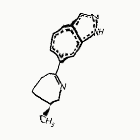 C[C@H]1CCC(c2ccc3cn[nH]c3c2)=NC1